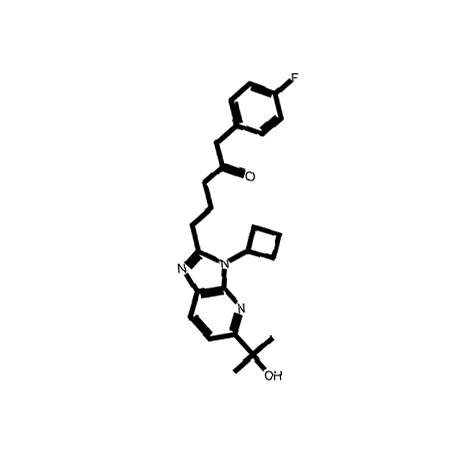 CC(C)(O)c1ccc2nc(CCCC(=O)Cc3ccc(F)cc3)n(C3CCC3)c2n1